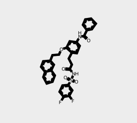 O=C(CCc1ccc(NC(=O)c2ccccc2)cc1OCCc1ccc2ccccc2c1)NS(=O)(=O)c1ccc(F)c(F)c1